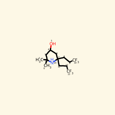 CC1(C)CC(O)CC(CCC(F)(F)F)(CCC(F)(F)F)N1